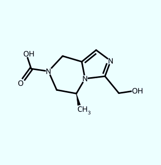 C[C@H]1CN(C(=O)O)Cc2cnc(CO)n21